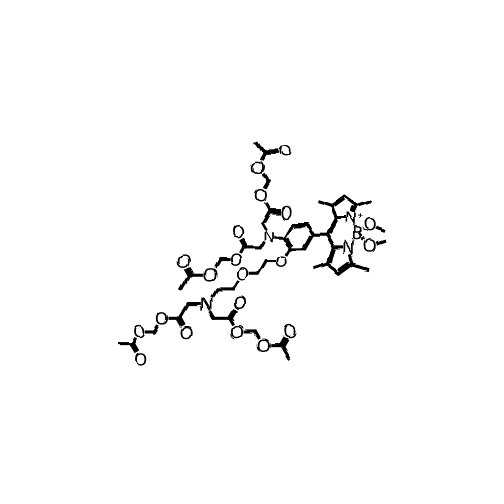 CO[B-]1(OC)n2c(C)cc(C)c2C(c2ccc(N(CC(=O)OCOC(C)=O)CC(=O)OCOC(C)=O)c(OCCOCCN(CC(=O)OCOC(C)=O)CC(=O)OCOC(C)=O)c2)=C2C(C)=CC(C)=[N+]21